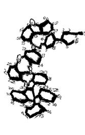 C=C/C=C\C(=C/C)c1ccc(N(c2ccc3c(c2)Oc2cccc4c2B3c2cccc3c5c(n-4c23)-c2ccccc2C5(c2ccccc2)c2ccccc2)c2cccc3oc4ccccc4c23)cc1